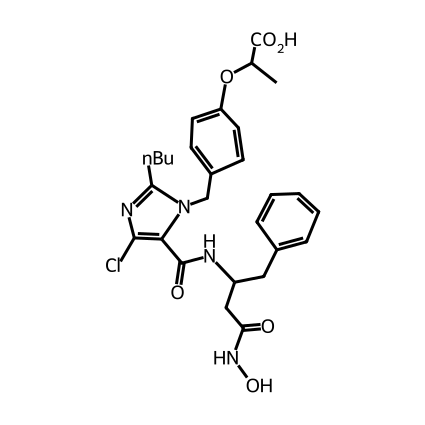 CCCCc1nc(Cl)c(C(=O)NC(CC(=O)NO)Cc2ccccc2)n1Cc1ccc(OC(C)C(=O)O)cc1